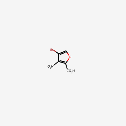 O=C(O)c1occ(Br)c1[N+](=O)[O-]